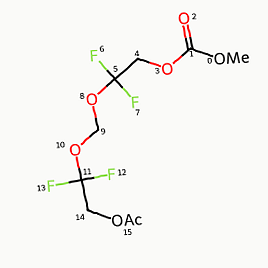 COC(=O)OCC(F)(F)OCOC(F)(F)COC(C)=O